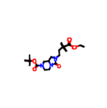 CCOC(=O)C(C)(C)CCN1CC2CN(C(=O)OC(C)(C)C)CCN2C1=O